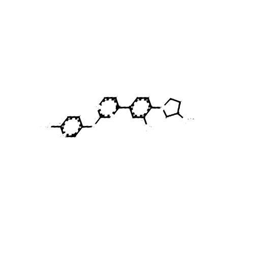 COC1CCN(c2ccc(-c3ccnc(Nc4ccc(NC(C)=O)nc4)n3)cc2C#N)C1